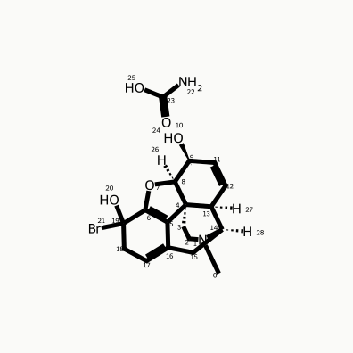 CN1CC[C@]23C4=C5O[C@H]2[C@@H](O)C=C[C@H]3[C@H]1CC4=CCC5(O)Br.NC(=O)O